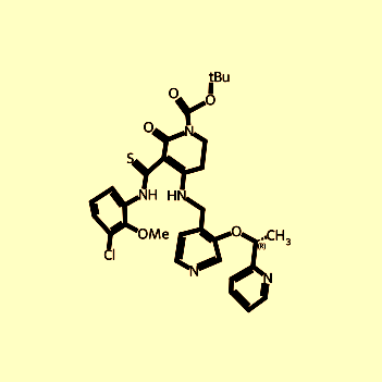 COc1c(Cl)cccc1NC(=S)C1=C(NCc2ccncc2O[C@H](C)c2ccccn2)CCN(C(=O)OC(C)(C)C)C1=O